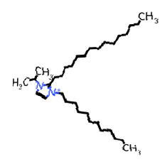 CCCCCCCCCCCCCCCc1n(C(C)C)cc[n+]1CCCCCCCCCCCC